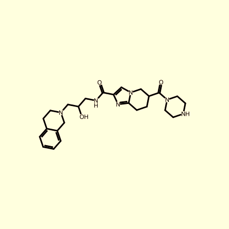 O=C(NCC(O)CN1CCc2ccccc2C1)c1cn2c(n1)CCC(C(=O)N1CCNCC1)C2